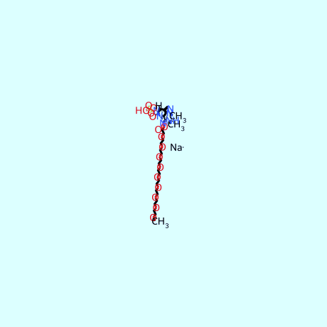 CN/C(=N\OC(=O)COCCOCCOCCOCCOCCOCCOCCOCCOC)[C@@H]1c2c(cnn2C)[C@@H]2CN1C(=O)N2OS(=O)(=O)O.[Na]